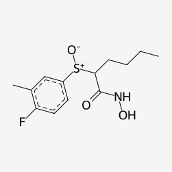 CCCCC(C(=O)NO)[S+]([O-])c1ccc(F)c(C)c1